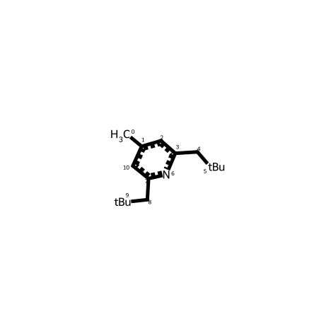 Cc1cc(CC(C)(C)C)nc(CC(C)(C)C)c1